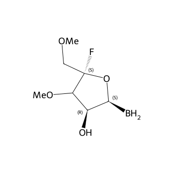 B[C@@H]1O[C@](F)(COC)C(OC)[C@@H]1O